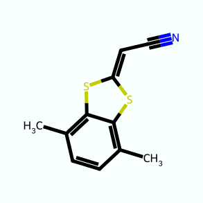 Cc1ccc(C)c2c1SC(=CC#N)S2